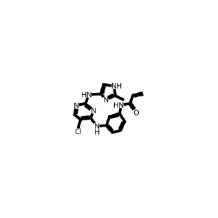 C=CC(=O)Nc1cccc(Nc2nc(Nc3c[nH]c(C)n3)ncc2Cl)c1